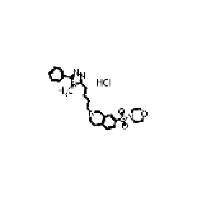 Cl.Cn1c(CCCCN2CCc3ccc(S(=O)(=O)N4CCOCC4)cc3C2)nnc1-c1ccccc1